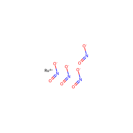 O=N[O-].O=N[O-].O=N[O-].O=N[O-].[Ru+4]